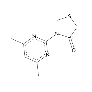 Cc1cc(C)nc(N2CSCC2=O)n1